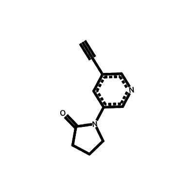 C#Cc1cncc(N2CCCC2=O)c1